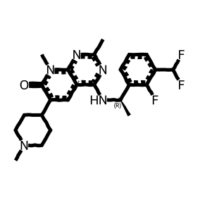 Cc1nc(N[C@H](C)c2cccc(C(F)F)c2F)c2cc(C3CCN(C)CC3)c(=O)n(C)c2n1